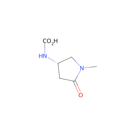 CN1C[C@@H](NC(=O)O)CC1=O